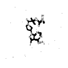 CNC(=O)OC(C)(C)C(=O)N1CCC(n2nc(I)c3c(N)ncnc32)C1